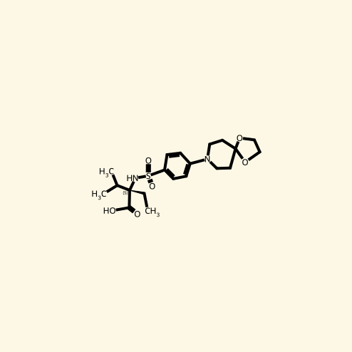 CC[C@@](NS(=O)(=O)c1ccc(N2CCC3(CC2)OCCO3)cc1)(C(=O)O)C(C)C